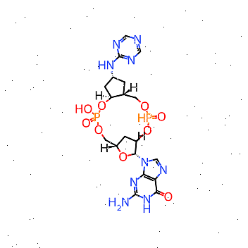 Nc1nc2c(ncn2[C@@H]2O[C@@H]3COP(=O)(O)O[C@H]4C[C@H](Nc5ncncn5)C[C@@H]4CO[PH](=O)O[C@@H]2C3)c(=O)[nH]1